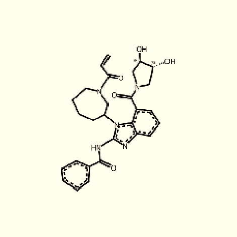 C=CC(=O)N1CCCCC(n2c(NC(=O)c3ccccc3)nc3cccc(C(=O)N4C[C@@H](O)[C@H](O)C4)c32)C1